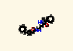 CC1NC(CCCCNC(=O)Cc2ccc(CC3CCCCCCC3)cc2)C(=O)C1C1CCCCCCCC1